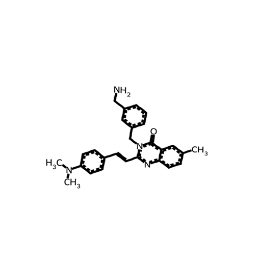 Cc1ccc2nc(C=Cc3ccc(N(C)C)cc3)n(Cc3cccc(CN)c3)c(=O)c2c1